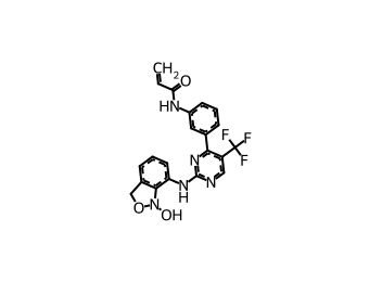 C=CC(=O)Nc1cccc(-c2nc(Nc3cccc4c3N(O)OC4)ncc2C(F)(F)F)c1